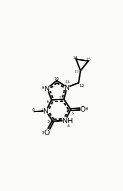 Cn1c(=O)[nH]c(=O)c2c1ncn2CC1CC1